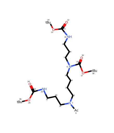 CC(=O)N(CCCCN(CCCNC(=O)OC(C)(C)C)C(=O)OC(C)(C)C)CCCNC(=O)OC(C)(C)C